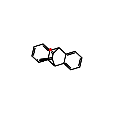 O=C1C(=O)C2c3ccccc3C1c1ccccc12